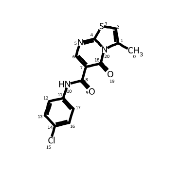 Cc1csc2ncc(C(=O)Nc3ccc(Cl)cc3)c(=O)n12